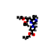 CCOC(=O)C1CCN(c2cnc(C)c(CC(COC)COC)n2)CC1